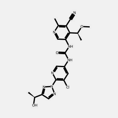 CO[C@@H](C)c1c(NC(=O)Nc2cnc(-n3ncc([C@H](C)O)n3)c(Cl)c2)cnc(C)c1C#N